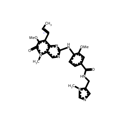 C/C=C/c1c(OC)c(=O)n(C)c2cnc(Nc3ccc(C(=O)NCc4cncn4C)cc3OC)nc12